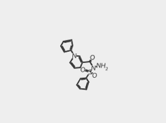 NN(C(=O)C1=CN(c2ccccc2)C=CC1)S(=O)(=O)c1ccccc1